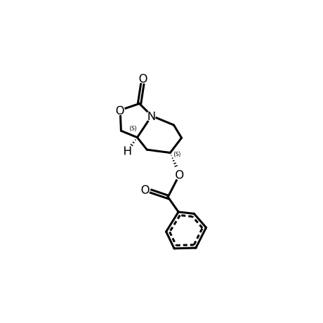 O=C(O[C@H]1CCN2C(=O)OC[C@@H]2C1)c1ccccc1